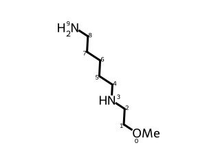 COCCNCCCCCN